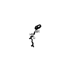 CC(C)=CCCC(C)=CC(=O)NCCNC1C2CC3CC(C2)CC1C3